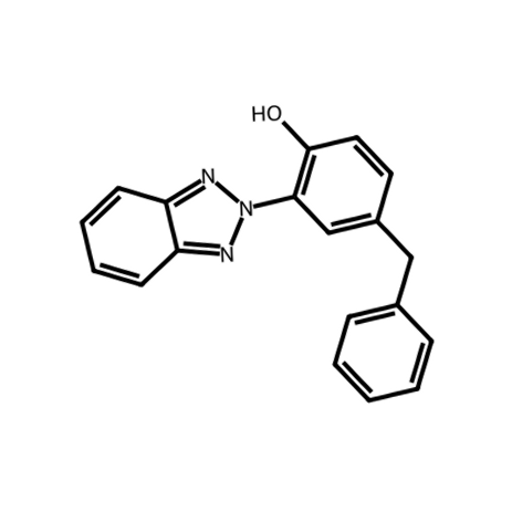 Oc1ccc(Cc2ccccc2)cc1-n1nc2ccccc2n1